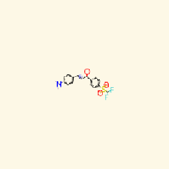 CN(C)c1ccc(/C=C/C(=O)c2ccc(S(=O)(=O)C(F)F)cc2)cc1